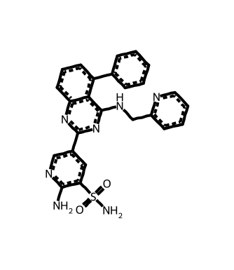 Nc1ncc(-c2nc(NCc3ccccn3)c3c(-c4ccccc4)cccc3n2)cc1S(N)(=O)=O